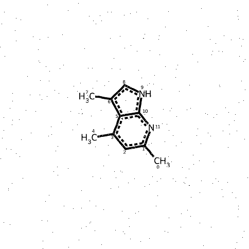 Cc1cc(C)c2c(C)c[nH]c2n1